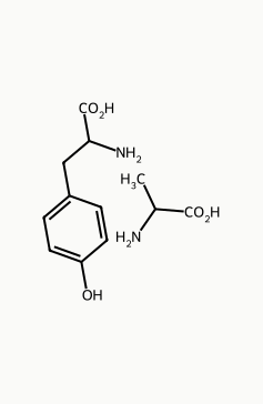 CC(N)C(=O)O.NC(Cc1ccc(O)cc1)C(=O)O